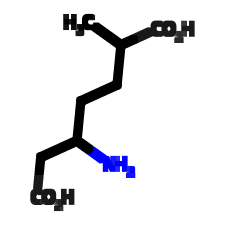 CC(CCC(N)CC(=O)O)C(=O)O